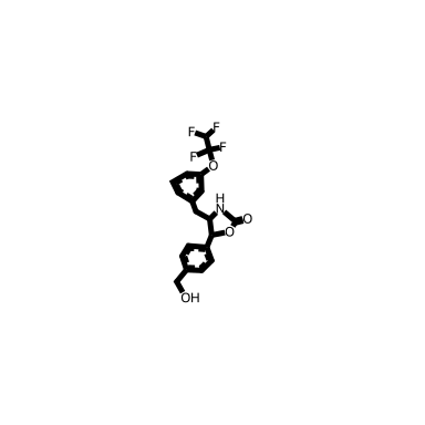 O=C1NC(Cc2cccc(OC(F)(F)C(F)F)c2)C(c2ccc(CO)cc2)O1